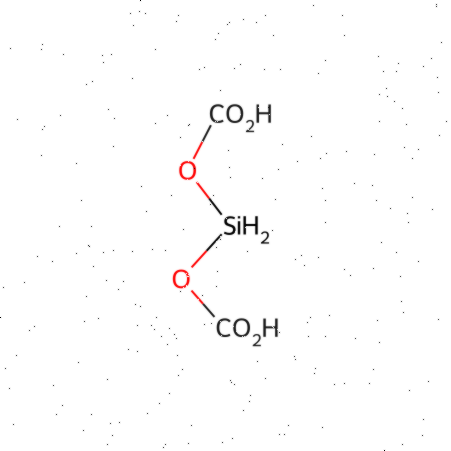 O=C(O)O[SiH2]OC(=O)O